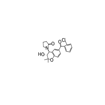 CC1(C)Oc2ccc(C(=O)c3ccccc3Cl)cc2[C@H](N2CCCC2=O)[C@H]1O